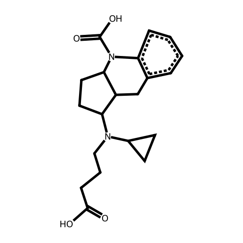 O=C(O)CCCN(C1CC1)C1CCC2C1Cc1ccccc1N2C(=O)O